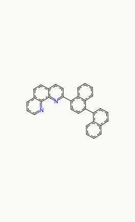 c1ccc2c(-c3ccc(-c4ccc5ccc6cccnc6c5n4)c4ccccc34)cccc2c1